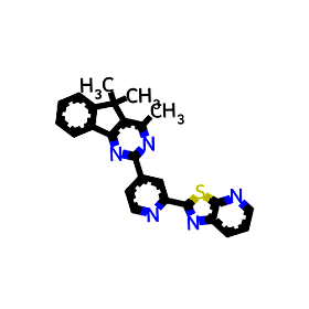 Cc1nc(-c2ccnc(-c3nc4cccnc4s3)c2)nc2c1C(C)(C)c1ccccc1-2